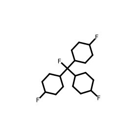 FC1CCC(C(F)(C2CCC(F)CC2)C2CCC(F)CC2)CC1